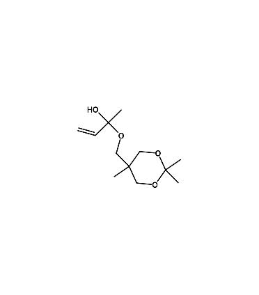 C=CC(C)(O)OCC1(C)COC(C)(C)OC1